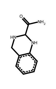 NC(=O)C1NCc2ccccc2N1